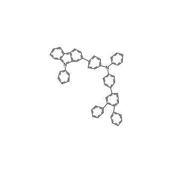 c1ccc(-c2ccc(-c3ccc(N(c4ccccc4)c4ccc(-c5ccc6c7ccccc7n(-c7ccccc7)c6c5)cc4)cc3)cc2-c2ccccc2)cc1